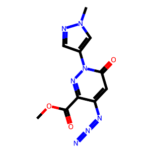 COC(=O)c1nn(-c2cnn(C)c2)c(=O)cc1N=[N+]=[N-]